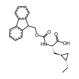 CC[C@H]1C[C@@H]1C[C@H](NC(=O)OCC1c2ccccc2-c2ccccc21)C(=O)O